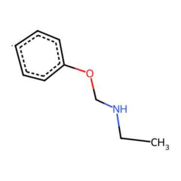 CCNCOc1cc[c]cc1